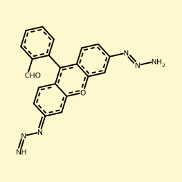 N=NN=c1ccc2c(-c3ccccc3C=O)c3ccc(N=NN)cc3oc-2c1